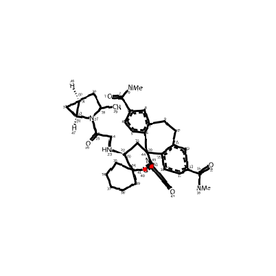 CNC(=O)c1ccc2c(c1)CCc1cc(C(=O)NC)ccc1C21C[C@H](NCC(=O)N2C(C#N)C[C@@H]3C[C@@H]32)C2(CCCCC2)n2oc(=O)nc21